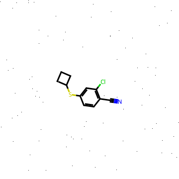 N#Cc1ccc(SC2CCC2)cc1Cl